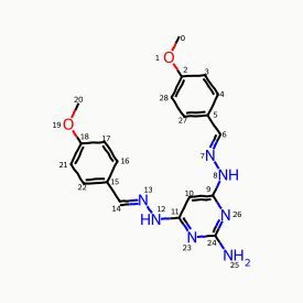 COc1ccc(C=NNc2cc(NN=Cc3ccc(OC)cc3)nc(N)n2)cc1